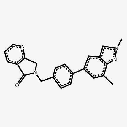 Cc1cc(-c2ccc(CN3Cc4ncccc4C3=O)cc2)cc2cn(C)nc12